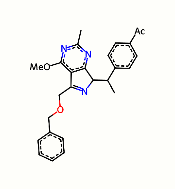 COc1nc(C)nc2c1C(COCc1ccccc1)=NC2C(C)c1ccc(C(C)=O)cc1